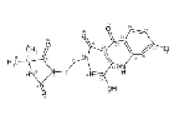 CC1(C)NC(=O)N(CCn2nc(O)c3[nH]c4cc(Cl)ccc4c(=O)c3c2=O)C1=O